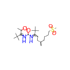 C=C(CCCCS(C)(=O)=O)CC[C@@H](NC(=O)N[C@H](C(C)=O)C(C)(C)C)C(C)(C)C